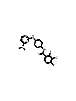 CN(C)c1ccnc(NC2CCC(NC(=O)c3ccc(F)c(Cl)c3F)CC2)n1